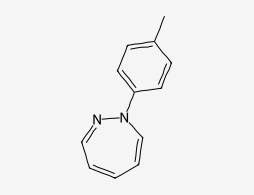 Cc1ccc(N2C=CC=CC=N2)cc1